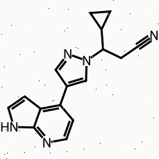 N#CCC(C1CC1)n1cc(-c2ccnc3[nH]ccc23)cn1